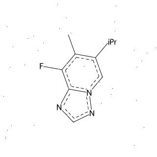 Cc1c(C(C)C)cn2ncnc2c1F